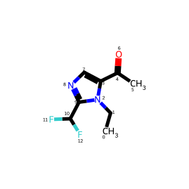 CCn1c(C(C)=O)cnc1C(F)F